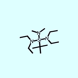 CCN(CC)[Si](N(C)C)(N(CC)CC)C(C)(C)C